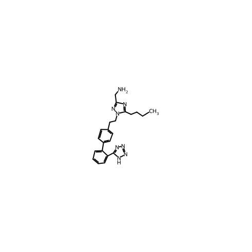 CCCCc1nc(CN)nn1CCc1ccc(-c2ccccc2-c2nnn[nH]2)cc1